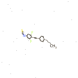 CCCCc1ccc(C#Cc2c(F)cc(N=C=S)cc2F)cc1